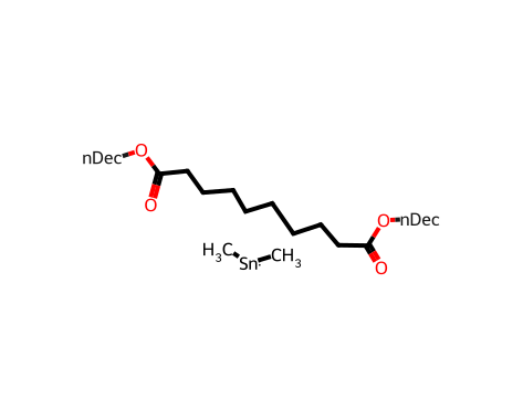 CCCCCCCCCCOC(=O)CCCCCCCCC(=O)OCCCCCCCCCC.[CH3][Sn][CH3]